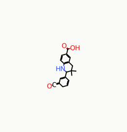 CC1(C)Cc2cc(C(=O)O)ccc2NC1C1=CC(=C=O)CC=C1